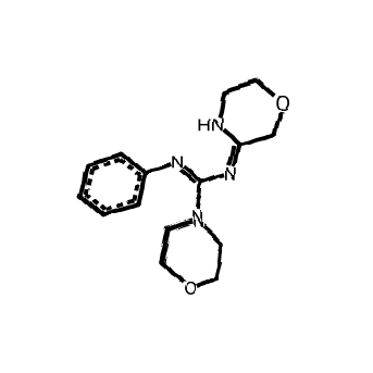 c1ccc(/N=C(/N=C2/COCCN2)N2CCOCC2)cc1